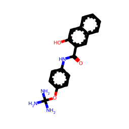 NC(N)(N)Oc1ccc(NC(=O)c2cc3ccccc3cc2O)cc1